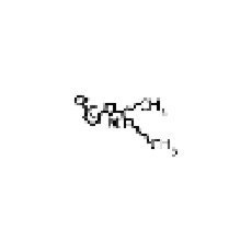 C=NC1C(C(CCCC)CCCCCCCC)CCC1C1CCCCC(C2CCCC2)C1